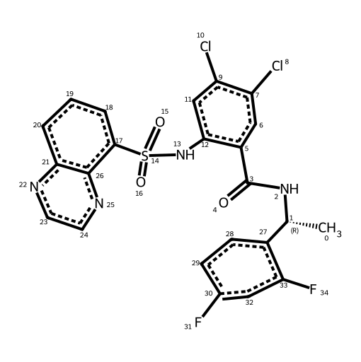 C[C@@H](NC(=O)c1cc(Cl)c(Cl)cc1NS(=O)(=O)c1cccc2nccnc12)c1ccc(F)cc1F